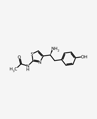 CC(=O)Nc1nc([C@@H](N)Cc2ccc(O)cc2)cs1